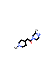 CC(=O)N1CCC(CC(=O)N2CCNC(C(C)C)C2)CC1